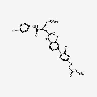 COCC1C(C(=O)Nc2ccc(Cl)cc2)C1C(=O)Nc1ccc(-n2ccc(OCC(=O)OC(C)(C)C)cc2=O)cc1F